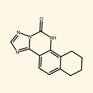 O=c1[nH]c2c3c(ccc2c2ncnn12)CCCC3